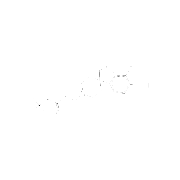 CC(C)(C)CC(=O)CCN1CCC2(CC1)COc1c2ccc(O)c1F